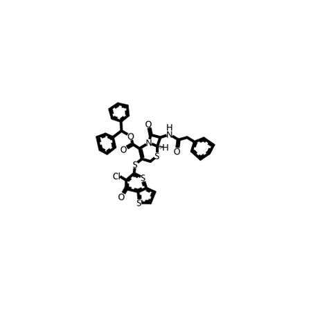 O=C(Cc1ccccc1)NC1C(=O)N2C(C(=O)OC(c3ccccc3)c3ccccc3)=C(Sc3sc4ccsc4c(=O)c3Cl)CS[C@H]12